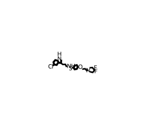 FC1(F)CCN(CCCOc2ccc(SNCCCc3c[nH]c4ccc(Cl)cc34)cc2)CC1